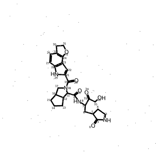 O=C1NCCC1CC(NC(=O)C1C2CCCC2CN1C(=O)c1cc2c3c(ccc2[nH]1)CCO3)C(=O)CO